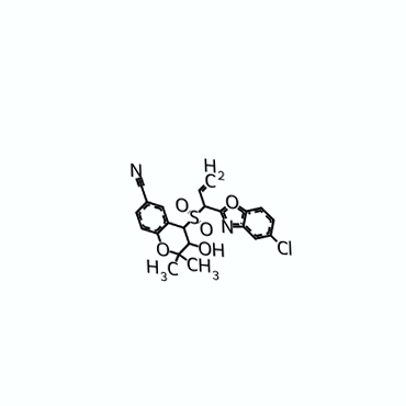 C=CC(c1nc2cc(Cl)ccc2o1)S(=O)(=O)C1c2cc(C#N)ccc2OC(C)(C)C1O